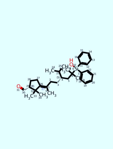 C/C(CC[C@@H](CC(C)(C)[Si](O)(c1ccccc1)c1ccccc1)C(C)C)=C1/CC[C@@H](C=O)C1(C)C